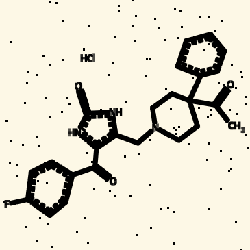 CC(=O)C1(c2ccccc2)CCN(Cc2[nH]c(=O)[nH]c2C(=O)c2ccc(F)cc2)CC1.Cl